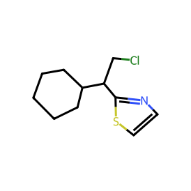 ClCC(c1nccs1)C1CCCCC1